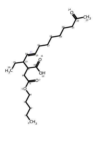 CCCCCOC(=O)CC(C(=O)O)C(/C=C/CCCCCCC(C)=O)CC